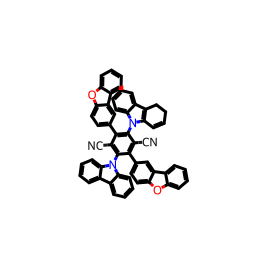 N#Cc1c(-c2ccc3oc4ccccc4c3c2)c(-n2c3ccccc3c3ccccc32)c(C#N)c(-c2ccc3oc4ccccc4c3c2)c1-n1c2c(c3ccccc31)CCC=C2